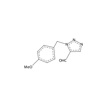 COc1ccc(Cn2nncc2C=O)cc1